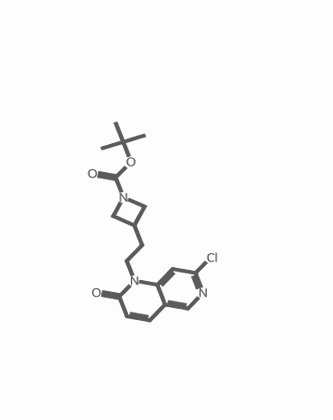 CC(C)(C)OC(=O)N1CC(CCn2c(=O)ccc3cnc(Cl)cc32)C1